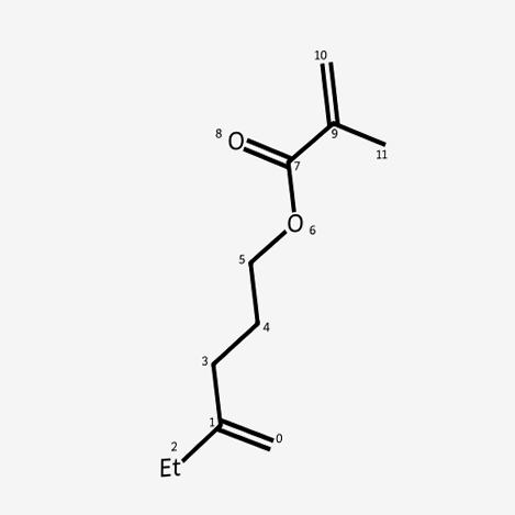 C=C(CC)CCCOC(=O)C(=C)C